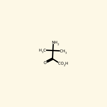 CC(C)(N)C(=O)C(=O)O